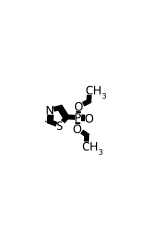 CCOP(=O)(OCC)c1cn[c]s1